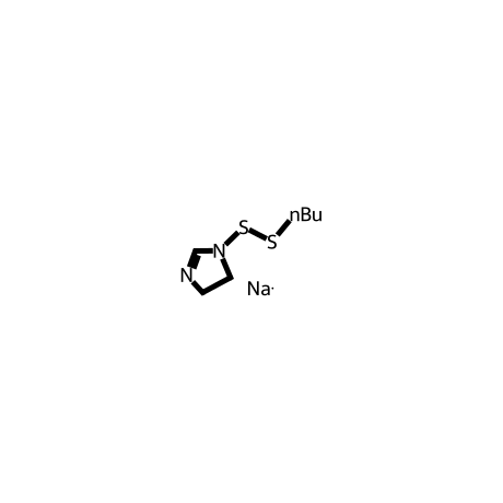 CCCCSSN1C=NCC1.[Na]